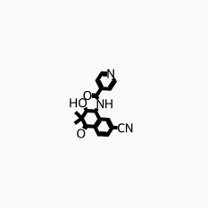 CC1(C)C(=O)c2ccc(C#N)cc2C(NC(=O)c2ccncc2)C1O